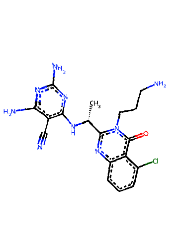 C[C@@H](Nc1nc(N)nc(N)c1C#N)c1nc2cccc(Cl)c2c(=O)n1CCCN